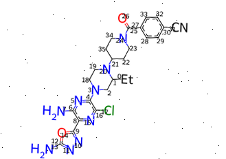 CCC1CN(c2nc(N)c(-c3nnc(N)o3)nc2Cl)CCN1C1CCN(C(=O)c2ccc(C#N)cc2)CC1